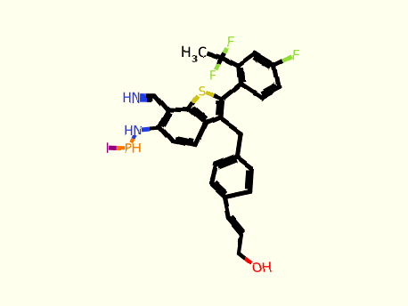 CC(F)(F)c1cc(F)ccc1-c1sc2c(C=N)c(NPI)ccc2c1Cc1ccc(/C=C/CO)cc1